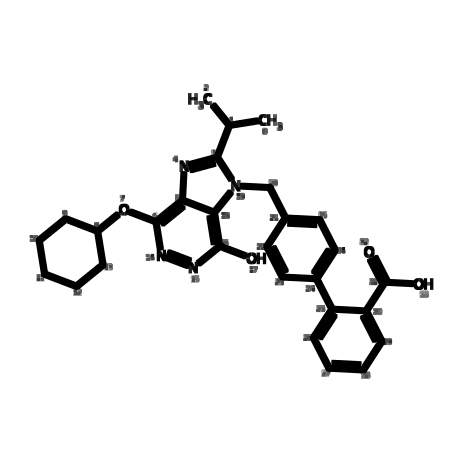 CC(C)c1nc2c(OC3CCCCC3)nnc(O)c2n1Cc1ccc(-c2ccccc2C(=O)O)cc1